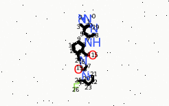 Cn1ncc2cc(Nc3cccc4c3C(=O)N(CC(=O)N3CCC[C@H]3CF)C4)cnc21